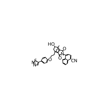 CC12OC(CCOc3ccc(-c4cnns4)cc3)(CC1O)C1C(=O)N(c3ccc(C#N)c4ccccc34)C(=O)C12